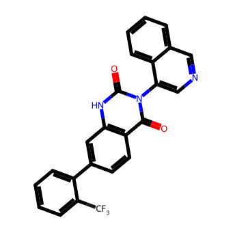 O=c1[nH]c2cc(-c3ccccc3C(F)(F)F)ccc2c(=O)n1-c1cncc2ccccc12